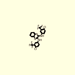 FC(F)(F)c1cc(Nc2nc3ccccc3nc2Nc2ccc(Cl)c(C(F)(F)F)c2)ccc1Cl